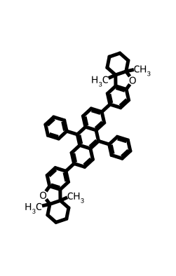 CC12CCCCC1(C)c1cc(-c3ccc4c(-c5ccccc5)c5cc(-c6ccc7c(c6)C6(C)CCCCC6(C)O7)ccc5c(-c5ccccc5)c4c3)ccc1O2